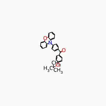 CC(C)(C)Oc1ccc(C(=O)c2ccc(N3c4ccccc4Oc4ccccc43)cc2)cc1